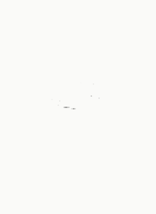 C=CCC1C=C(Br)C=CC1(N)CC=C